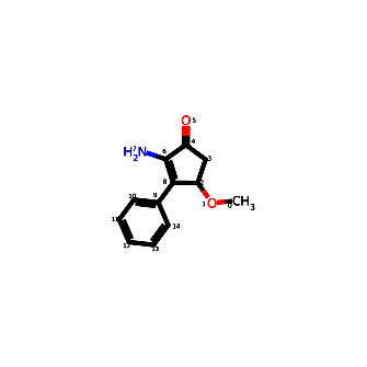 COC1CC(=O)C(N)=C1c1ccccc1